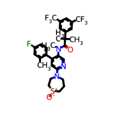 Cc1cc(F)ccc1-c1cc(N2CCC[S+]([O-])CC2)ncc1N(C)C(=O)C(C)(C)c1cc(C(F)(F)F)cc(C(F)(F)F)c1